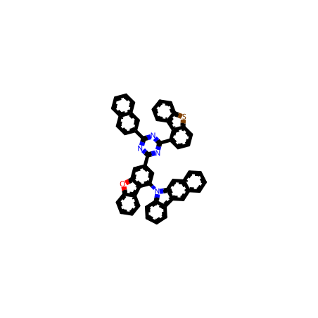 c1ccc2cc(-c3nc(-c4cc(-n5c6ccccc6c6cc7ccccc7cc65)c5c(c4)oc4ccccc45)nc(-c4cccc5sc6ccccc6c45)n3)ccc2c1